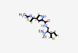 CCN(CC)C(CNC(=O)c1cc(-c2csc(C)n2)c[nH]1)c1ccsc1